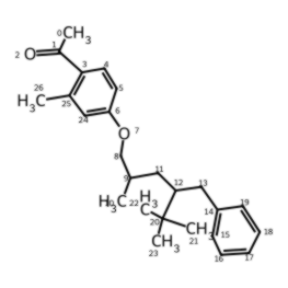 CC(=O)c1ccc(OCC(C)CC(Cc2ccccc2)C(C)(C)C)cc1C